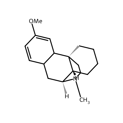 COC1=CC2C(C=C1)C[C@H]1[C@H]3CCCC[C@@]23CCN1C